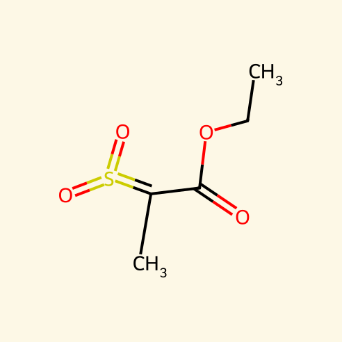 CCOC(=O)C(C)=S(=O)=O